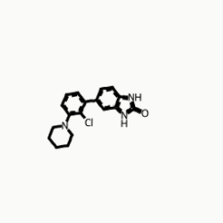 O=c1[nH]c2ccc(-c3cccc(N4CCCCC4)c3Cl)cc2[nH]1